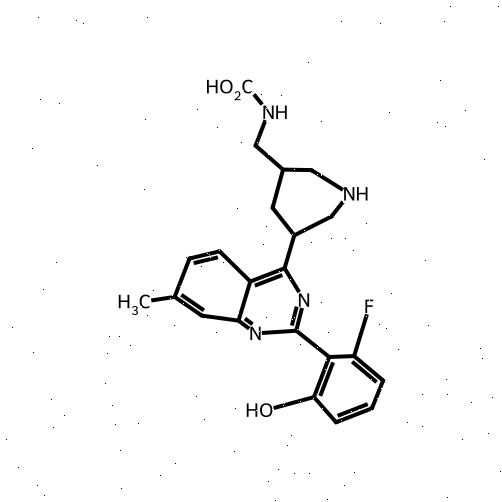 Cc1ccc2c(C3CNCC(CNC(=O)O)C3)nc(-c3c(O)cccc3F)nc2c1